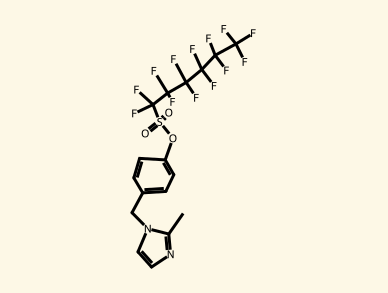 Cc1nccn1Cc1ccc(OS(=O)(=O)C(F)(F)C(F)(F)C(F)(F)C(F)(F)C(F)(F)C(F)(F)F)cc1